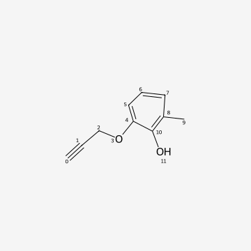 C#CCOc1cccc(C)c1O